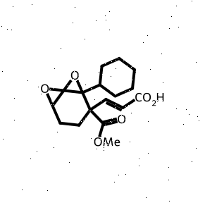 COC(=O)C1(C=CC(=O)O)CCC2OC23OC13C1CCCCC1